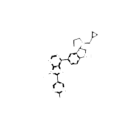 Cc1ncc(-c2nc3c(-c4ccc5c(c4)[C@@]4(CCCN4C(=O)C4CC4)C(=O)N5)ncnc3n2C)cn1